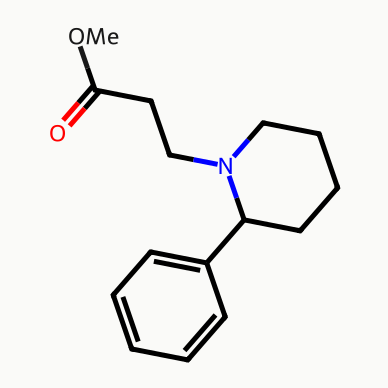 COC(=O)CCN1CCCCC1c1ccccc1